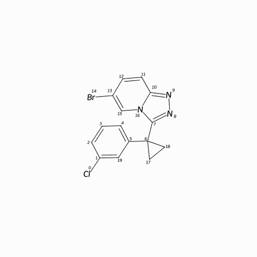 Clc1cccc(C2(c3nnc4ccc(Br)cn34)CC2)c1